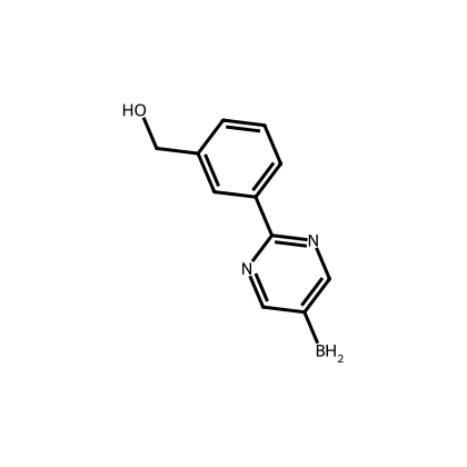 Bc1cnc(-c2cccc(CO)c2)nc1